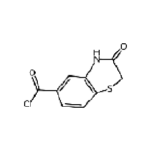 O=C1CSc2ccc(C(=O)Cl)cc2N1